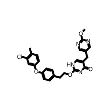 COc1ncc(Cc2c[nH]c(OCCc3ccc(Oc4ccc(C)c(Cl)c4)cc3)nc2=O)cn1